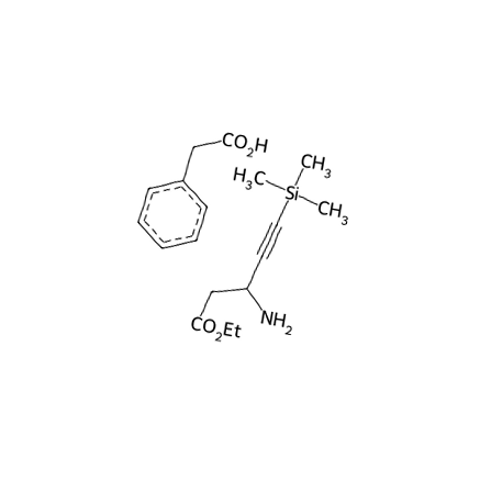 CCOC(=O)CC(N)C#C[Si](C)(C)C.O=C(O)Cc1ccccc1